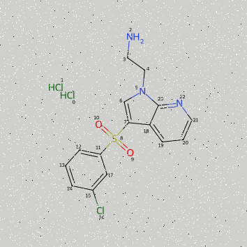 Cl.Cl.NCCn1cc(S(=O)(=O)c2cccc(Cl)c2)c2cccnc21